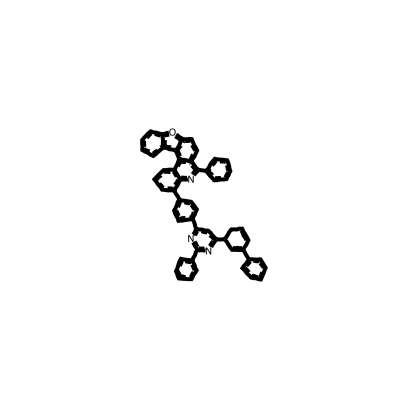 C1=CC(c2ccccc2)=CC(c2cc(-c3ccc(-c4cccc5c4nc(-c4ccccc4)c4ccc6oc7ccccc7c6c45)cc3)nc(-c3ccccc3)n2)C1